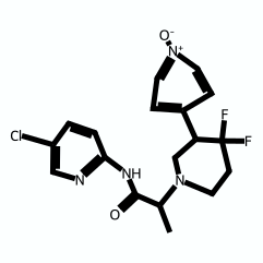 CC(C(=O)Nc1ccc(Cl)cn1)N1CCC(F)(F)C(c2cc[n+]([O-])cc2)C1